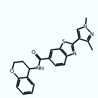 Cc1nn(C)cc1-c1nc2ccc(C(=O)NC3CCOc4ccccc43)cc2s1